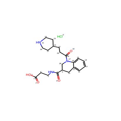 Cl.O=C(O)CCNC(=O)C1Cc2ccccc2N(C(=O)CCC2CCNCC2)C1